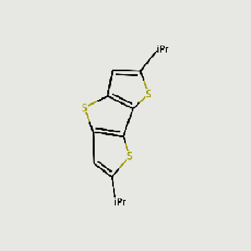 CC(C)c1cc2sc3cc(C(C)C)sc3c2s1